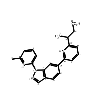 Cc1cccc(-n2ncc3ccc(-c4cccc(C(N)CC(=O)O)n4)cc32)n1